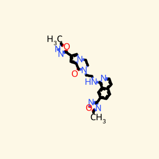 Cc1nc(-c2ccc3ccnc(NCCN4CCn5cc(-c6nnc(C)o6)cc5C4=O)c3c2)no1